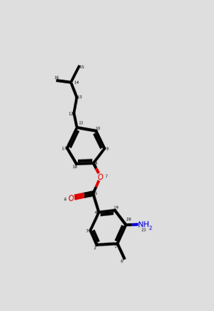 Cc1ccc(C(=O)Oc2ccc(CCC(C)C)cc2)cc1N